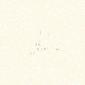 CSC(=N)Nc1ncc(C(F)(F)F)cc1N(C)C(=O)O